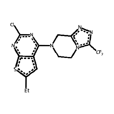 CCc1cc2c(N3CCn4c(nnc4C(F)(F)F)C3)nc(Cl)nc2s1